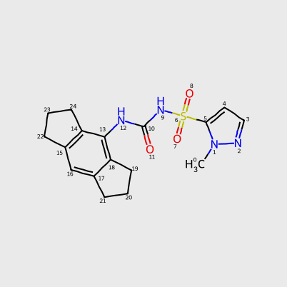 Cn1nccc1S(=O)(=O)NC(=O)Nc1c2c(cc3c1CCC3)CCC2